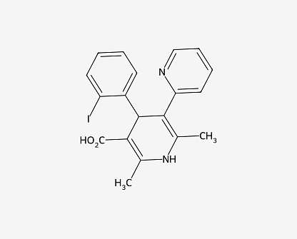 CC1=C(C(=O)O)C(c2ccccc2I)C(c2ccccn2)=C(C)N1